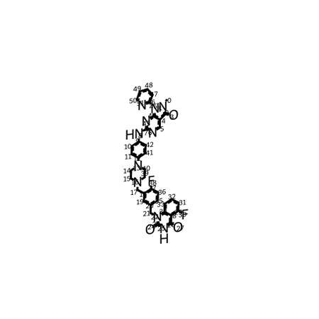 Cn1c(=O)c2cnc(Nc3ccc(N4CCN(Cc5cc(Cn6c(=O)[nH]c(=O)c7c(F)cccc76)ccc5F)CC4)cc3)nc2n1-c1ccccn1